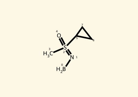 BN=S(C)(=O)C1CC1